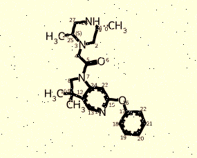 C[C@@H]1CN(CC(=O)N2CC(C)(C)c3cnc(Oc4ccccc4)cc32)[C@@H](C)CN1